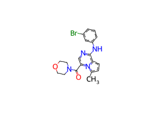 Cc1ccc2c(Nc3cccc(Br)c3)ncc(C(=O)N3CCOCC3)n12